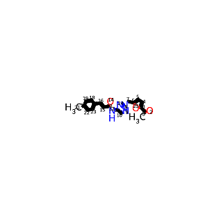 CC(=O)c1ccc(Cn2ncc(NC(=O)/C=C/c3ccc(C)cc3)n2)o1